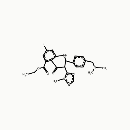 CCOC(=O)c1cc(F)cc2c1C(=O)C(c1ncnn1C)C(c1ccc(CN(C)C)cc1)N2